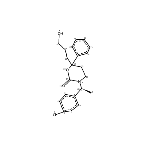 C[C@@H](c1ccc(Cl)cc1)N1CCC(CCCO)(c2ccccc2)OC1=O